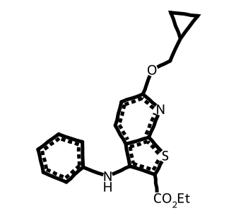 CCOC(=O)c1sc2nc(OCC3CC3)ccc2c1Nc1ccccc1